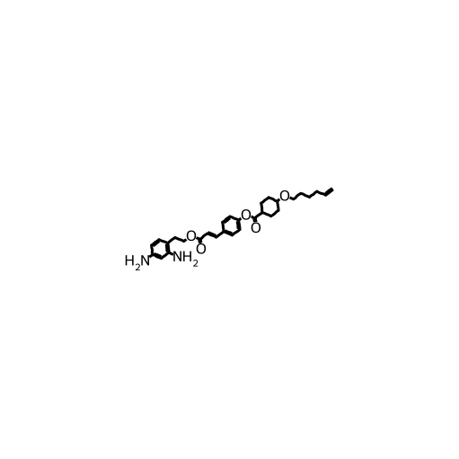 C=CCCCCOC1CCC(C(=O)Oc2ccc(/C=C/C(=O)OCCc3ccc(N)cc3N)cc2)CC1